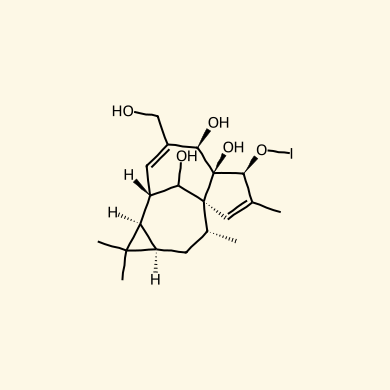 CC1=C[C@]23C(O)[C@@H](C=C(CO)[C@@H](O)[C@]2(O)[C@H]1OI)[C@H]1[C@@H](C[C@H]3C)C1(C)C